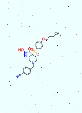 CCCCOc1ccc(S(=O)(=O)C2(C(=O)NO)CCN(Cc3ccc(C#N)cc3)CC2)cc1